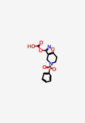 O=C(O)Oc1noc2c1CN(S(=O)(=O)c1ccccc1)CC2